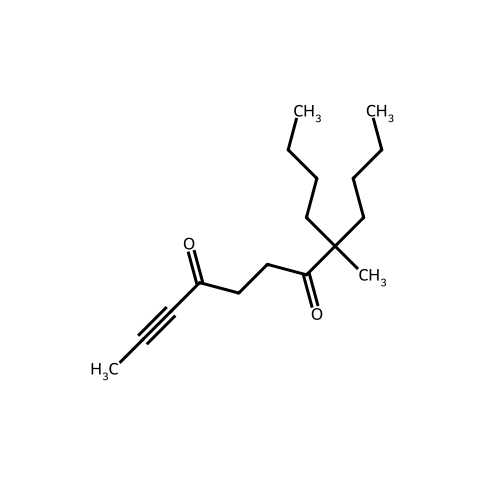 CC#CC(=O)CCC(=O)C(C)(CCCC)CCCC